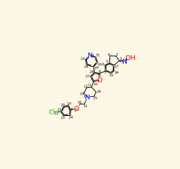 O/N=C1\CCc2cc(-c3oc(C4CCN(CCOc5ccc(Cl)cc5)CC4)cc3-c3ccncc3)ccc21